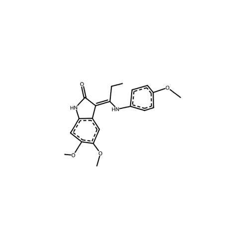 CCC(Nc1ccc(OC)cc1)=C1C(=O)Nc2cc(OC)c(OC)cc21